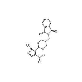 Cn1ncc([N+](=O)[O-])c1C1OCC(CN2C(=O)c3ccccc3C2=O)CO1